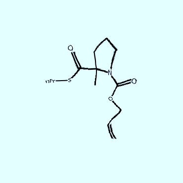 C=CCOC(=O)N1CCCC1(C)C(=O)SCCC